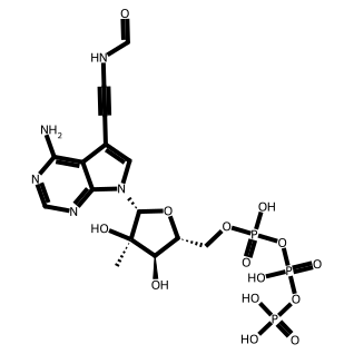 C[C@@]1(O)[C@H](O)[C@@H](COP(=O)(O)OP(=O)(O)OP(=O)(O)O)O[C@H]1n1cc(C#CNC=O)c2c(N)ncnc21